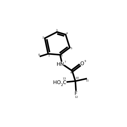 Cc1ccccc1NC(=O)C(C)(F)C(=O)O